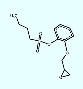 CCCCS(=O)(=O)Oc1ccccc1OCC1CO1